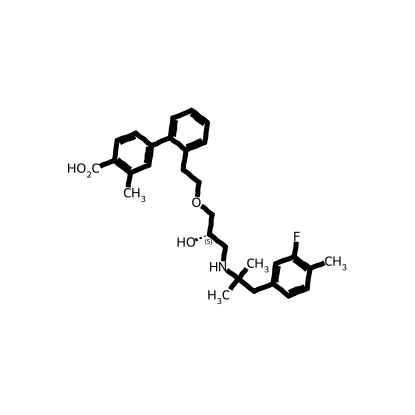 Cc1ccc(CC(C)(C)NC[C@H](O)COCCc2ccccc2-c2ccc(C(=O)O)c(C)c2)cc1F